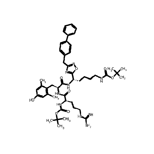 Cc1cc(O)cc(C)c1C[C@H](NC(=O)[C@@H](CCCNC(=N)N)NC(=O)OC(C)(C)C)C(=O)N[C@@H](CCCCNC(=O)OC(C)(C)C)c1nc(Cc2ccc(-c3ccccc3)cc2)no1